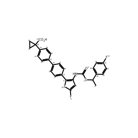 CC(OC(=O)Nc1cc(F)sc1-c1ccc(-c2ccc(C3(C(=O)O)CC3)cc2)cc1)c1ccc(F)cc1